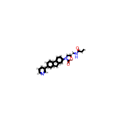 CCC(=O)NC[C@H]1CN(c2ccc3c(c2)Cc2cc(-c4cccnc4)ccc2-3)C(=O)O1